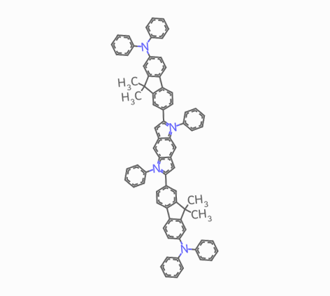 CC1(C)c2cc(-c3cc4cc5c(cc(-c6ccc7c(c6)C(C)(C)c6cc(N(c8ccccc8)c8ccccc8)ccc6-7)n5-c5ccccc5)cc4n3-c3ccccc3)ccc2-c2ccc(N(c3ccccc3)c3ccccc3)cc21